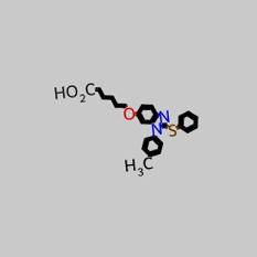 Cc1ccc(-n2c(Sc3ccccc3)nc3ccc(OCCCCCC(=O)O)cc32)cc1